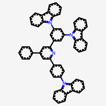 c1ccc(-c2cc(-c3ccc(-n4c5ccccc5c5ccccc54)cc3)nc(-c3cc(-n4c5ccccc5c5ccccc54)cc(-n4c5ccccc5c5ccccc54)c3)c2)cc1